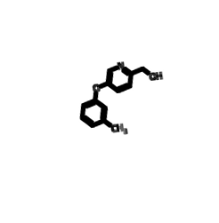 Cc1cccc(Oc2ccc(CO)nc2)c1